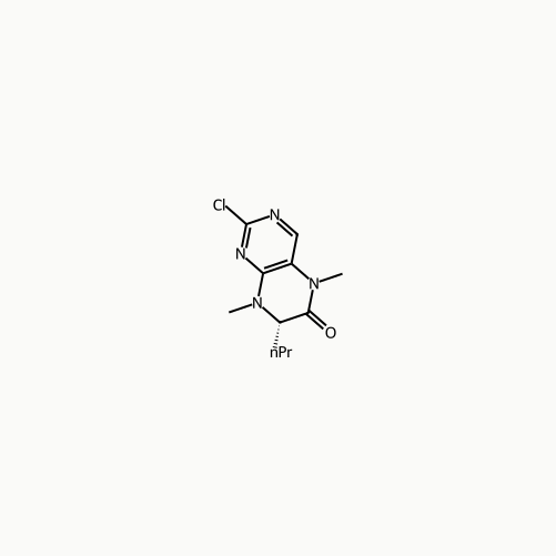 CCC[C@H]1C(=O)N(C)c2cnc(Cl)nc2N1C